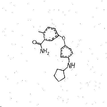 Cc1ccc(Oc2ccc(NC3CCCC3)cc2)cc1C(N)=O